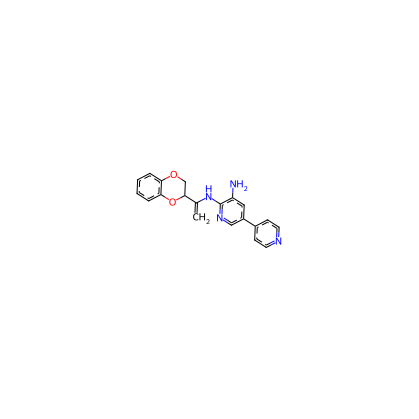 C=C(Nc1ncc(-c2ccncc2)cc1N)C1COc2ccccc2O1